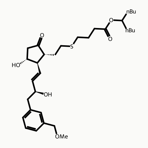 CCCCC(CCCC)OC(=O)CCCSCC[C@H]1C(=O)C[C@@H](O)[C@@H]1C=C[C@@H](O)Cc1cccc(COC)c1